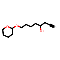 C#CCC(O)CCCCOC1CCCCO1